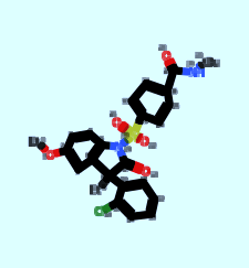 CCOc1ccc2c(c1)C(CC)(c1ccccc1Cl)C(=O)N2S(=O)(=O)c1ccc(C(=O)NC(C)(C)C)cc1